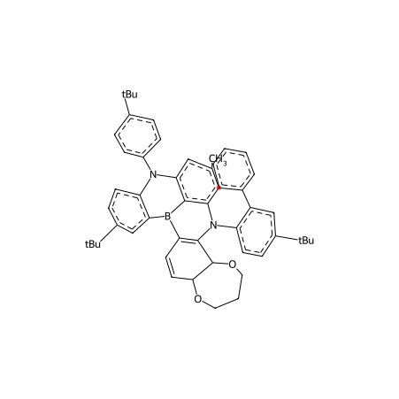 Cc1cc2c3c(c1)N(c1ccc(C(C)(C)C)cc1)c1ccc(C(C)(C)C)cc1B3C1=C(C3OCCCOC3C=C1)N2c1ccc(C(C)(C)C)cc1-c1ccccc1